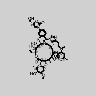 CC[C@H]1OC(=O)[C@H](C)[C@@H](O[C@H]2C[C@@](C)(OC)[C@@H](O)[C@H](C)O2)[C@H](C)[C@@H](O[C@@H]2O[C@H](C)C[C@H](N(C)CCc3cn(Cc4ccc(N5C[C@H](CO)OC5=O)cc4F)nn3)[C@H]2O)[C@](C)(O)C[C@@H](C)CN(C)[C@H](C)[C@@H](O)[C@]1(C)O